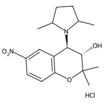 CC1CCC(C)N1[C@@H]1c2cc([N+](=O)[O-])ccc2OC(C)(C)[C@H]1O.Cl